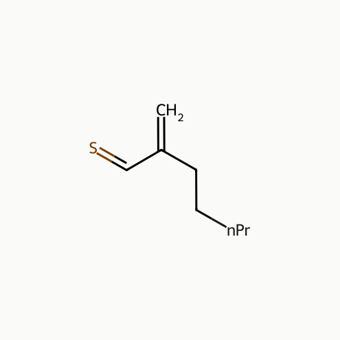 C=C(C=S)CCCCC